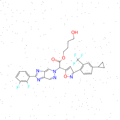 O=C(OCCCCO)C(c1cc(-c2ccc(C3CC3)cc2C(F)(F)F)no1)n1cc2nc(-c3cccc(F)c3F)nc-2cn1